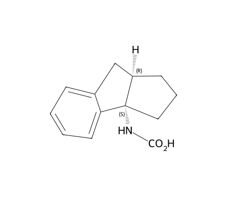 O=C(O)N[C@@]12CCC[C@@H]1Cc1ccccc12